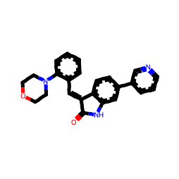 O=C1Nc2cc(-c3cccnc3)ccc2/C1=C\c1ccccc1N1CCOCC1